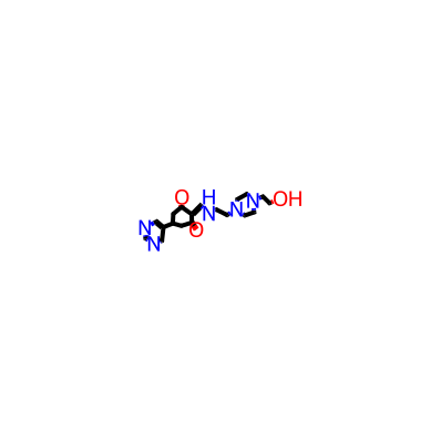 O=C1CC(c2cncnc2)CC(=O)C1=CNCCN1CCN(CCO)CC1